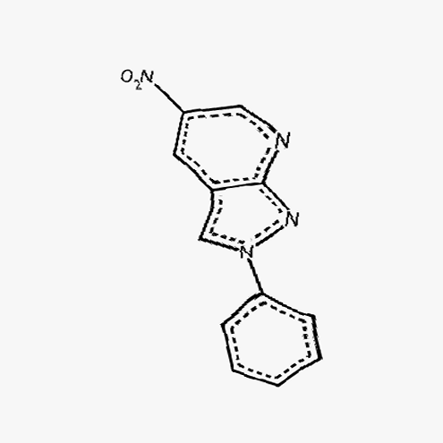 O=[N+]([O-])c1cnc2nn(-c3ccccc3)cc2c1